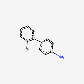 CC(C)(C)c1ccc[c]c1-c1ccc(N)cc1